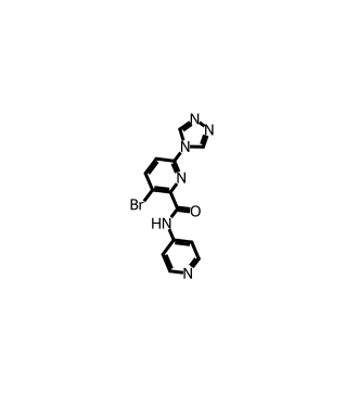 O=C(Nc1ccncc1)c1nc(-n2cnnc2)ccc1Br